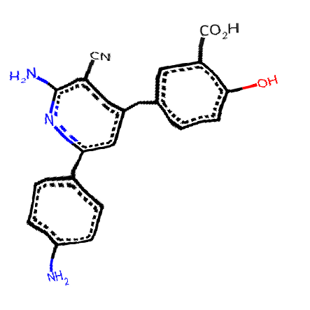 N#Cc1c(-c2ccc(O)c(C(=O)O)c2)cc(-c2ccc(N)cc2)nc1N